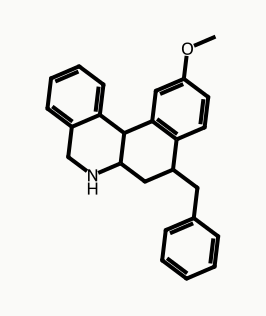 COc1ccc2c(c1)C1c3ccccc3CNC1CC2Cc1ccccc1